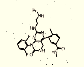 Cc1ccc(C(=O)N(C)C)cc1-c1nc(NCCNC(C)C)nc2c1CNC(=O)N2c1c(F)cccc1F